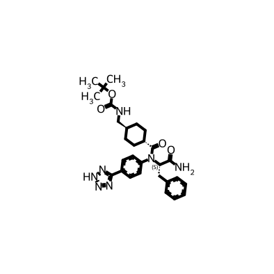 CC(C)(C)OC(=O)NC[C@H]1CC[C@H](C(=O)N(c2ccc(-c3nn[nH]n3)cc2)[C@@H](Cc2ccccc2)C(N)=O)CC1